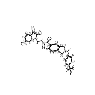 O=C(NCCC1C(=O)Nc2ccc(Cl)cc21)c1cnc2c(c1)CN(Cc1ccc(C(F)(F)F)cc1)C2